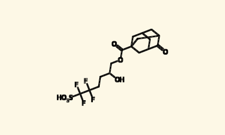 O=C1C2CC3CC1CC(C(=O)OCC(O)CCC(F)(F)C(F)(F)S(=O)(=O)O)(C3)C2